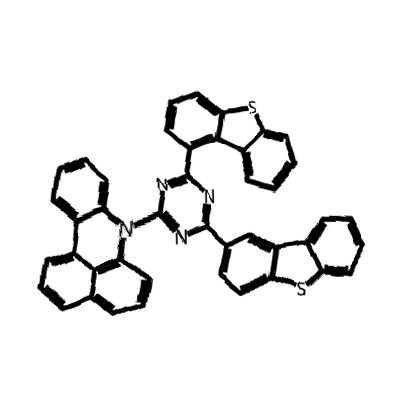 c1ccc2c(c1)-c1cccc3cccc(c13)N2c1nc(-c2ccc3sc4ccccc4c3c2)nc(-c2cccc3sc4ccccc4c23)n1